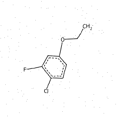 [CH2]COc1ccc(Cl)c(F)c1